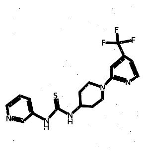 FC(F)(F)c1ccnc(N2CCC(NC(=S)Nc3cccnc3)CC2)c1